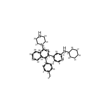 Fc1ccc(-c2c(-c3ccnc(NC4CCCCC4)c3)nc(N3CCNCC3)c3ccncc23)cc1